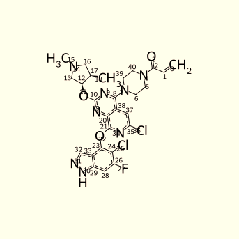 C=CC(=O)N1CCN(c2nc(O[C@H]3CN(C)C[C@H]3C)nc3c(Oc4c(Cl)c(F)cc5[nH]ncc45)nc(Cl)cc23)CC1